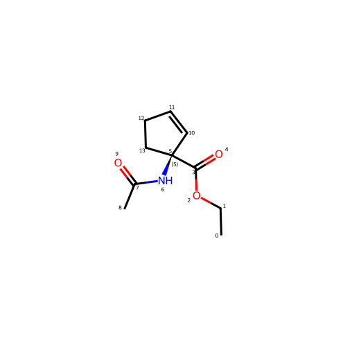 CCOC(=O)[C@@]1(NC(C)=O)C=CCC1